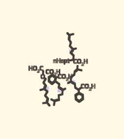 CC(C)=CCC/C(C)=C/CC(C(=O)O)c1ccccc1.CC(C)=CCC/C(C)=C/CCOCC(=O)O.CC(C)=CCC/C(C)=C/Cc1cccc(C(=O)O)c1C(=O)O.CCCCCCCC(C/C=C(\C)CCC=C(C)C)C(=O)O